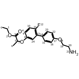 CCOC(=O)C(C)Oc1ccc(F)c(-c2ccc(OCCN)cc2)c1